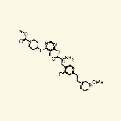 CO[C@@H]1CCCN(CCc2ccc(C[C@H](N)C(=O)Oc3ncnc(OC4CCN(C(=O)OC(C)C)CC4)c3C)c(F)c2)C1